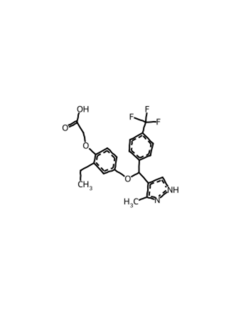 CCc1cc(OC(c2ccc(C(F)(F)F)cc2)c2c[nH]nc2C)ccc1OCC(=O)O